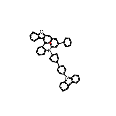 c1ccc(-c2cccc(N(c3ccc(-c4ccc(-n5c6ccccc6c6ccccc65)cc4)cc3)c3ccccc3-c3cccc4oc5ccccc5c34)c2)cc1